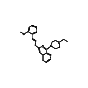 CCN1CCN(c2nc(CC=Cc3ccccc3OC)cc3ccccc23)CC1